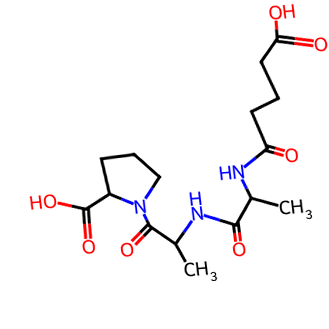 CC(NC(=O)CCCC(=O)O)C(=O)NC(C)C(=O)N1CCCC1C(=O)O